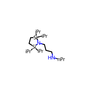 [CH2]CCNCCCN1[Si](C(C)C)(C(C)C)CC[Si]1(C(C)C)C(C)C